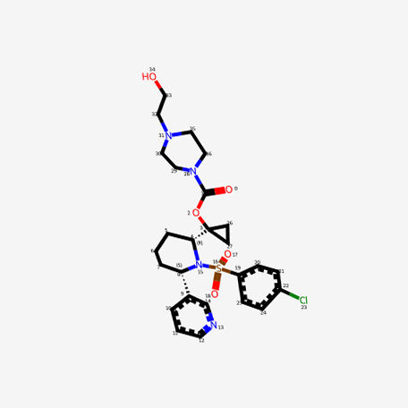 O=C(OC1([C@H]2CCC[C@@H](c3cccnc3)N2S(=O)(=O)c2ccc(Cl)cc2)CC1)N1CCN(CCO)CC1